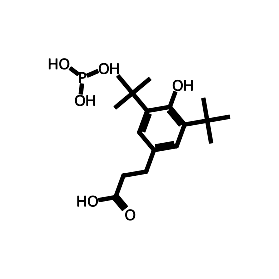 CC(C)(C)c1cc(CCC(=O)O)cc(C(C)(C)C)c1O.OP(O)O